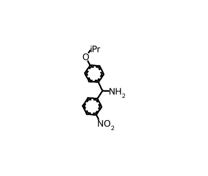 CC(C)Oc1ccc(C(N)c2cccc([N+](=O)[O-])c2)cc1